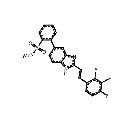 CNS(=O)(=O)c1ccccc1-c1ccc2[nH]c(C=Cc3ccc(F)c(F)c3F)nc2c1